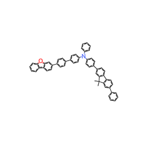 CC1(C)c2cc(-c3ccccc3)ccc2-c2ccc(-c3ccc(N(c4ccccc4)c4ccc(-c5ccc(-c6ccc7c(c6)oc6ccccc67)cc5)cc4)cc3)cc21